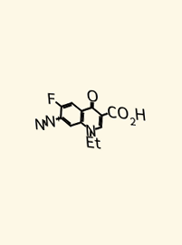 CCn1cc(C(=O)O)c(=O)c2cc(F)c([N+]#N)cc21